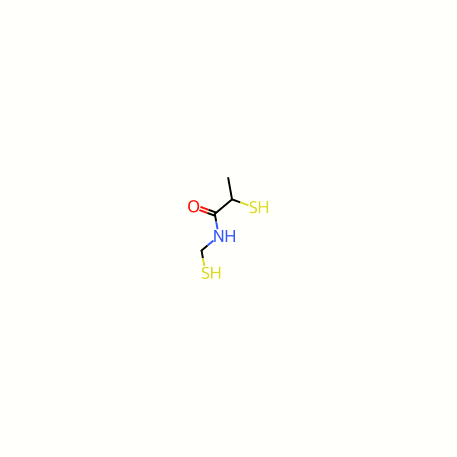 CC(S)C(=O)NCS